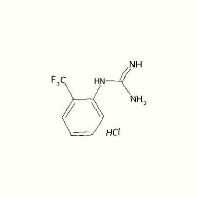 Cl.N=C(N)Nc1ccccc1C(F)(F)F